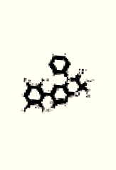 O=C1N(c2ccccc2)c2cc(-c3c(F)c(F)cc(F)c3F)c(F)cc2OC1(F)F